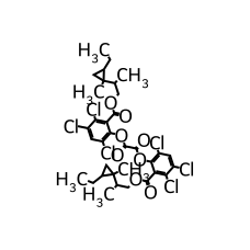 CCC1CC1(C)C(C)COC(=O)c1c(Cl)c(Cl)cc(Cl)c1OC(=O)C(=O)Oc1c(Cl)cc(Cl)c(Cl)c1C(=O)OCC(C)C1(C)CC1CC